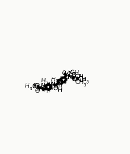 CCN(NC(=O)OC(C)(C)C)C(=O)c1ccc2[nH]c(C(=O)Nc3ccc4cc(C(=O)OC)[nH]c4c3)cc2c1